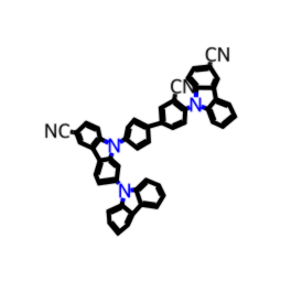 N#Cc1ccc2c(c1)c1ccc(-n3c4ccccc4c4ccccc43)cc1n2-c1ccc(-c2ccc(-n3c4ccccc4c4cc(C#N)ccc43)c(C#N)c2)cc1